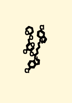 O=c1cc(COC2CCCCO2)occ1OC(CCCCn1ccc2cc(Cl)ccc21)n1ccc2cc(Cl)ccc21